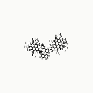 Bc1c(B)c2c(B)c(B)c3c(B)c(B)c(-c4ccc(-c5cc(-c6cccc(-c7c(B)c(B)c8c(B)c(B)c9c(B)c(B)c(B)c%10c(B)c(B)c7c8c9%10)c6)cc(-c6cccc7ccccc67)c5)cc4)c4c(B)c(B)c(c1B)c2c34